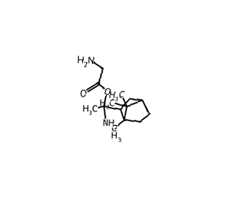 CC(N)(OC(=O)CN)C1CC2CCC1(C)C2(C)C